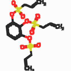 C=CCS(=O)(=O)Oc1cccc(OS(=O)(=O)CC=C)c1OS(=O)(=O)CC=C